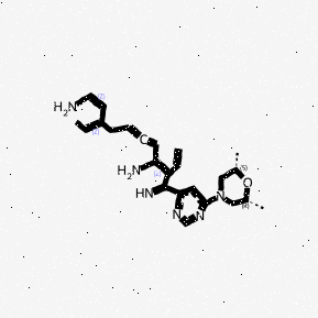 C=C/C(C(=N)c1cc(N2C[C@@H](C)O[C@@H](C)C2)ncn1)=C(/N)C=C=CCC(/C=C\N)=C/C